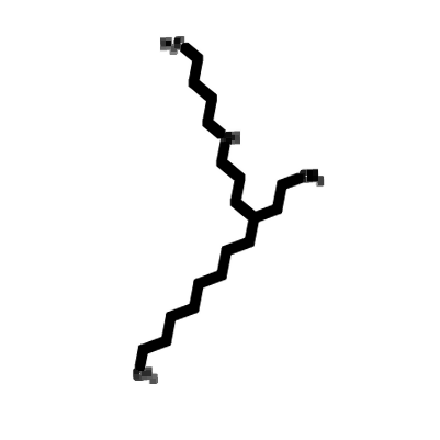 CCCCCCCCCC(CCC)CCCNCCCCC